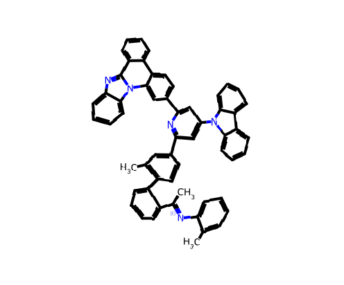 C/C(=N\c1ccccc1C)c1ccccc1-c1ccc(-c2cc(-n3c4ccccc4c4ccccc43)cc(-c3ccc4c5ccccc5c5nc6ccccc6n5c4c3)n2)cc1C